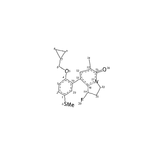 CSc1ccc(OCC2CC2)c(-c2cc(C)c(=O)n3c2C(F)CC3)c1